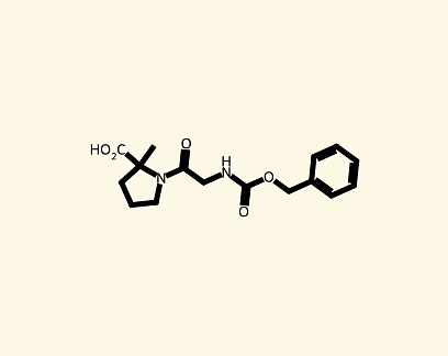 CC1(C(=O)O)CCCN1C(=O)CNC(=O)OCc1ccccc1